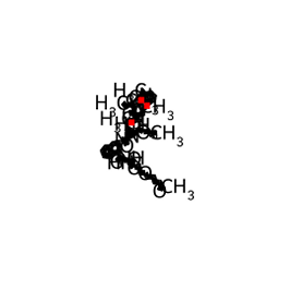 CCCO[C@H](C[C@H](C(C)C)N(CCC)C(=O)[C@@H](NC(=O)[C@H]1CCCCN1C)[C@@H](C)CC)c1nc(C(=O)N[C@H]2Cc3ccccc3[C@H](C(=O)NNC(=O)OCCOCCCCC(C)=O)C2)cs1